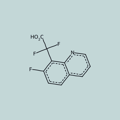 O=C(O)C(F)(F)c1c(F)ccc2cccnc12